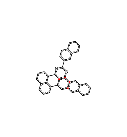 c1ccc(-c2cccc3cccc(-c4nc(-c5ccc6ccccc6c5)nc(-c5ccc6ccccc6c5)n4)c23)cc1